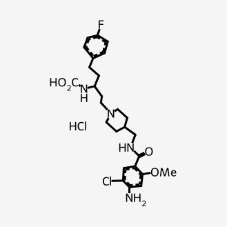 COc1cc(N)c(Cl)cc1C(=O)NCC1CCN(CCC(CCc2ccc(F)cc2)NC(=O)O)CC1.Cl